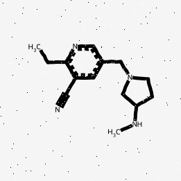 CCc1ncc(CN2CCC(NC)C2)cc1C#N